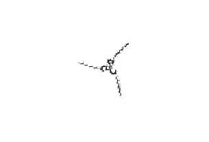 CCCCCCCCCCc1ccc([SiH](c2ccc(CCCCCCCCCC)cc2)c2ccc(CCCCCCCCCC)cc2)cc1